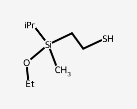 CCO[Si](C)(CCS)C(C)C